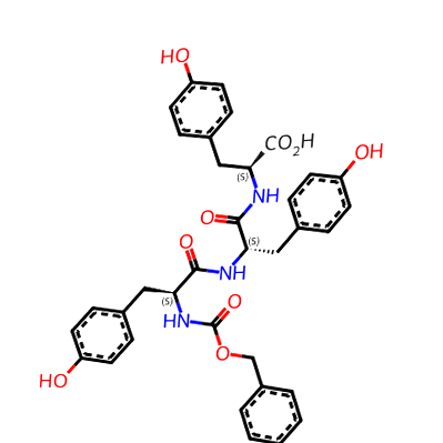 O=C(N[C@@H](Cc1ccc(O)cc1)C(=O)N[C@@H](Cc1ccc(O)cc1)C(=O)N[C@@H](Cc1ccc(O)cc1)C(=O)O)OCc1ccccc1